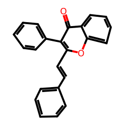 O=c1c(-c2ccccc2)c(/C=C/c2ccccc2)oc2ccccc12